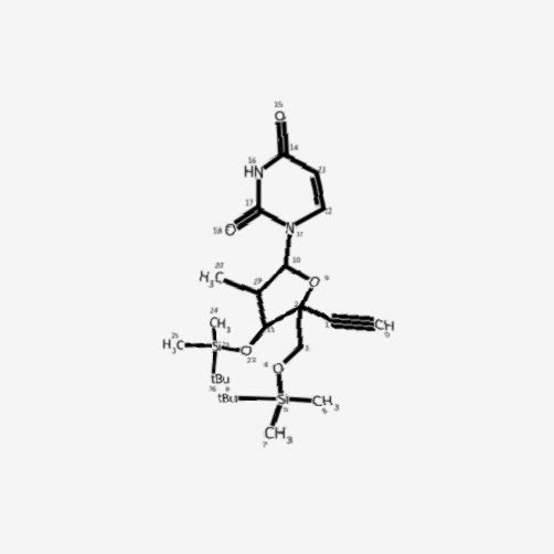 C#CC1(CO[Si](C)(C)C(C)(C)C)OC(n2ccc(=O)[nH]c2=O)C(C)C1O[Si](C)(C)C(C)(C)C